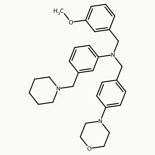 COc1cccc(CN(Cc2ccc(N3CCOCC3)cc2)c2cccc(CN3CCCCC3)c2)c1